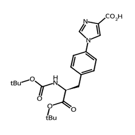 CC(C)(C)OC(=O)N[C@@H](Cc1ccc(-n2cnc(C(=O)O)c2)cc1)C(=O)OC(C)(C)C